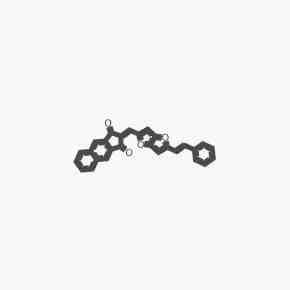 O=C1C(=Cc2cc3oc(/C=C/c4ccccc4)cc3o2)C(=O)c2cc3ccccc3cc21